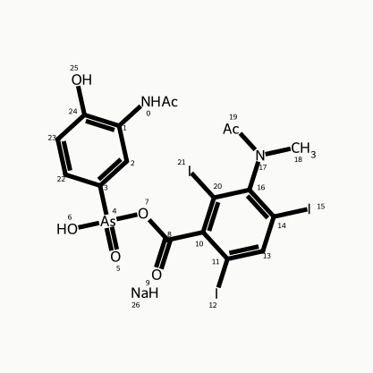 CC(=O)Nc1cc([As](=O)(O)OC(=O)c2c(I)cc(I)c(N(C)C(C)=O)c2I)ccc1O.[NaH]